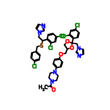 CC(=O)N1CCN(c2ccc(OCC3COC(Cn4ccnc4)(c4ccc(Cl)cc4Cl)O3)cc2)CC1.Clc1ccc(CSC(Cn2ccnc2)c2ccc(Cl)cc2Cl)cc1